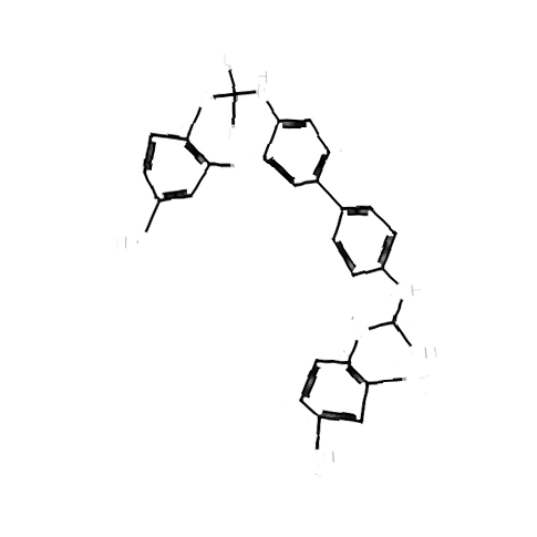 CCC(CC)(Oc1ccc(C)cc1C)Pc1ccc(-c2ccc(PC(C)Oc3ccc(C)cc3C)cc2)cc1